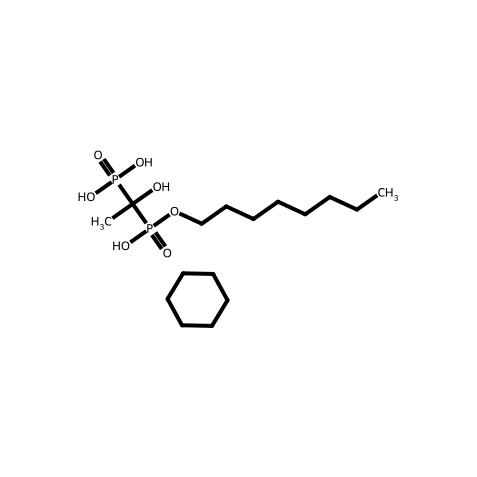 C1CCCCC1.CCCCCCCCOP(=O)(O)C(C)(O)P(=O)(O)O